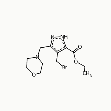 CCOC(=O)c1[nH]nc(CN2CCOCC2)c1CBr